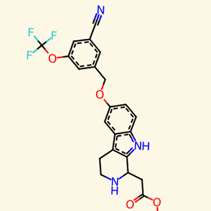 COC(=O)CC1NCCc2c1[nH]c1ccc(OCc3cc(C#N)cc(OC(F)(F)F)c3)cc21